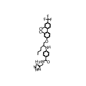 CCCC[C@@H](COc1ccc(-c2ccc(C(F)(F)F)cc2Cl)c(Cl)c1)Nc1ccc(C(=O)NCc2nnn[nH]2)cc1